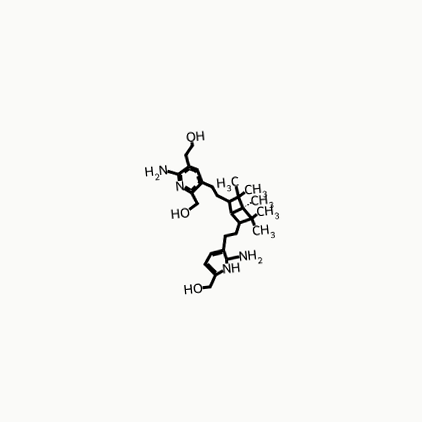 CC1(C)C(CCC2=CC=C(CO)NC2N)C2C(CCc3cc(CCO)c(N)nc3CO)C(C)(C)[C@]21C